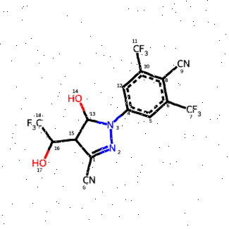 N#CC1=NN(c2cc(C(F)(F)F)c(C#N)c(C(F)(F)F)c2)C(O)C1C(O)C(F)(F)F